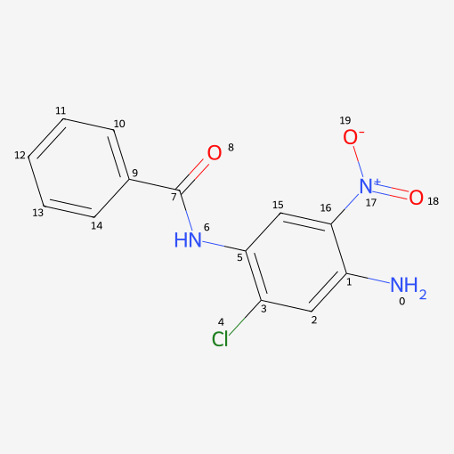 Nc1cc(Cl)c(NC(=O)c2ccccc2)cc1[N+](=O)[O-]